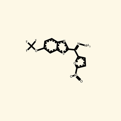 NN=C(c1ccc([N+](=O)[O-])o1)c1nc2ccc(OC(F)(F)F)cc2s1